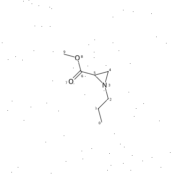 CCCN1CC1C(=O)OC